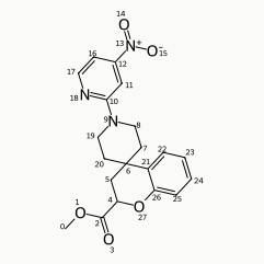 COC(=O)C1CC2(CCN(c3cc([N+](=O)[O-])ccn3)CC2)c2ccccc2O1